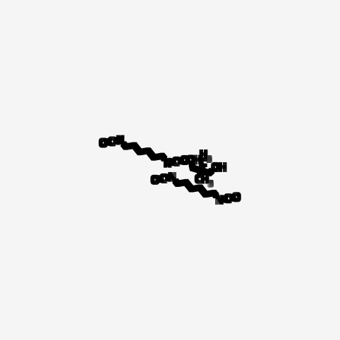 CC(C)(CO)CO.O=C=NCCCCCCN=C=O.O=C=NCCCCCCN=C=O